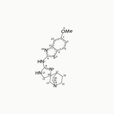 COc1ccc2sc(NC3=NC4(CN3)CN3CCC4CC3)nc2c1